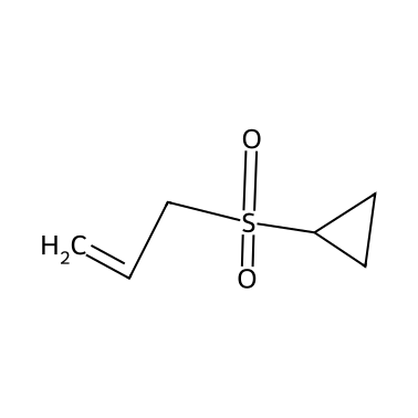 C=CCS(=O)(=O)C1CC1